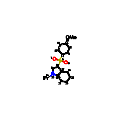 COc1ccc(S(=O)(=O)c2cn(C(C)C)c3ccccc23)cc1